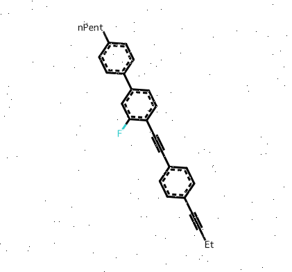 CCC#Cc1ccc(C#Cc2ccc(-c3ccc(CCCCC)cc3)cc2F)cc1